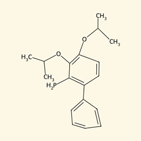 CC(C)Oc1ccc(-c2ccccc2)c(P)c1OC(C)C